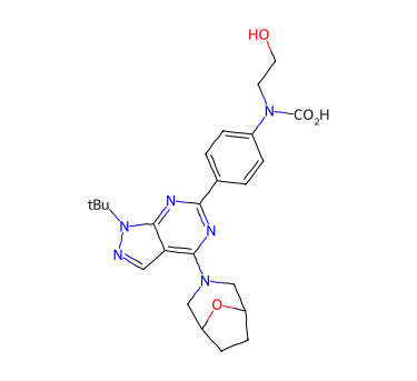 CC(C)(C)n1ncc2c(N3CC4CCC(C3)O4)nc(-c3ccc(N(CCO)C(=O)O)cc3)nc21